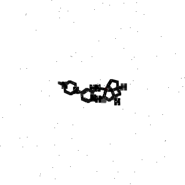 CN1CCN(c2ccnc(NC3C4C[C@@H]5C[C@H]6C[C@H]3CC56C4)c2)CC1